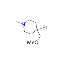 CCC1(COC)CCN(C)CC1